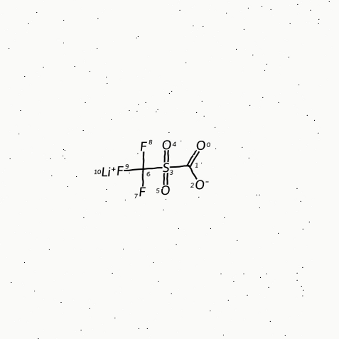 O=C([O-])S(=O)(=O)C(F)(F)F.[Li+]